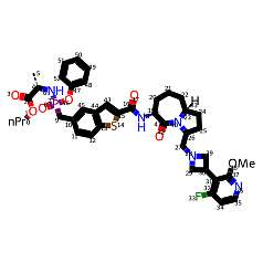 CCCOC(=O)[C@H](C)NP(=O)(Cc1ccc2sc(C(=O)N[C@H]3CCC[C@H]4CCC(CN5CC(c6c(F)ccnc6OC)C5)N4C3=O)cc2c1)Oc1ccccc1